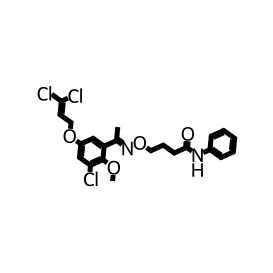 COc1c(Cl)cc(OCC=C(Cl)Cl)cc1/C(C)=N/OCCCC(=O)Nc1ccccc1